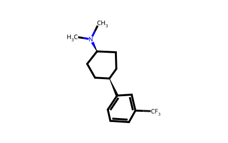 CN(C)[C@H]1CC[C@@H](c2cccc(C(F)(F)F)c2)CC1